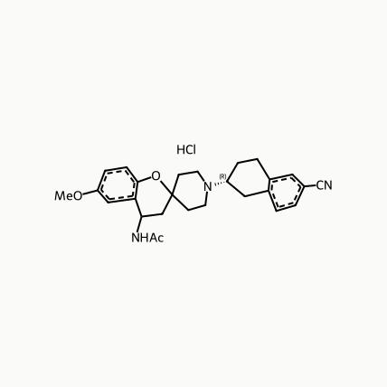 COc1ccc2c(c1)C(NC(C)=O)CC1(CCN([C@@H]3CCc4cc(C#N)ccc4C3)CC1)O2.Cl